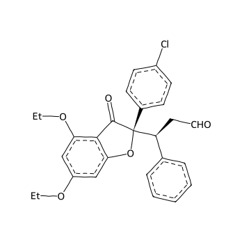 CCOc1cc(OCC)c2c(c1)O[C@@](c1ccc(Cl)cc1)([C@@H](CC=O)c1ccccc1)C2=O